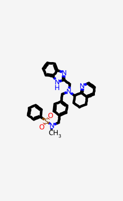 CN(Cc1ccc(CN(Cc2nc3ccccc3[nH]2)C2CCCc3cccnc32)cc1)S(=O)(=O)c1ccccc1